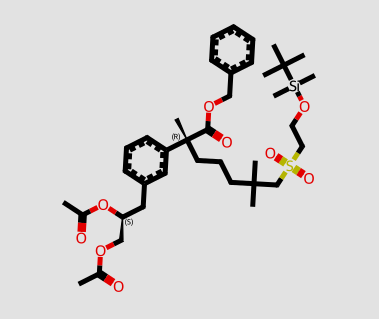 CC(=O)OC[C@H](Cc1cccc([C@@](C)(CCCC(C)(C)CS(=O)(=O)CCO[Si](C)(C)C(C)(C)C)C(=O)OCc2ccccc2)c1)OC(C)=O